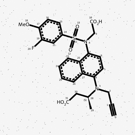 C#CCN(c1ccc(N(CC(=O)O)S(=O)(=O)c2ccc(OC)c(F)c2)c2ccccc12)[C@@H](C)CC(=O)O